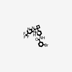 O=C(Nc1ccc(C2(c3nc4ncc(C(F)(F)F)cc4[nH]3)CCC2)nc1)c1cccc(Br)c1